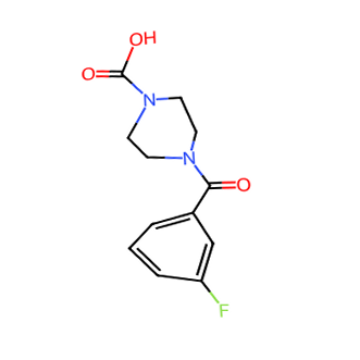 O=C(O)N1CCN(C(=O)c2cccc(F)c2)CC1